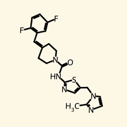 Cc1nccn1Cc1cnc(NC(=O)N2CCC(=Cc3cc(F)ccc3F)CC2)s1